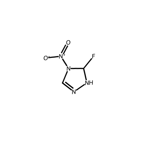 O=[N+]([O-])N1C=NNC1F